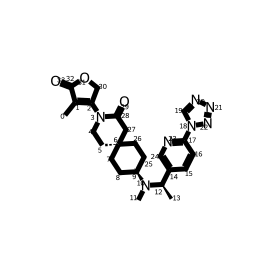 CC1=C(N2CC[C@]3(CC[C@H](N(C)[C@H](C)c4ccc(-n5cnnn5)nc4)CC3)CC2=O)COC1=O